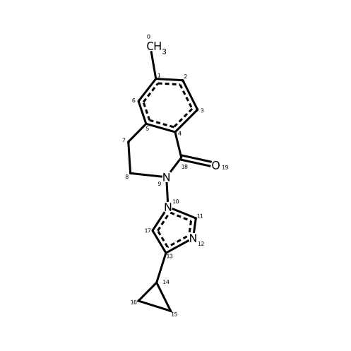 Cc1ccc2c(c1)CCN(n1cnc(C3CC3)c1)C2=O